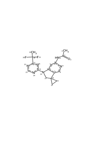 CC(=O)Nc1cc2c(cn1)C1(CC1)CN2c1cc(C(C)(F)F)ncn1